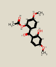 COc1ccc(C(=O)c2ccc(OC)cc2OC(C)=O)c(O)c1